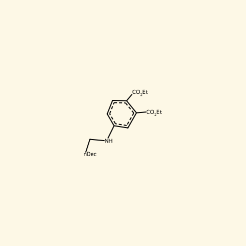 CCCCCCCCCCCNc1ccc(C(=O)OCC)c(C(=O)OCC)c1